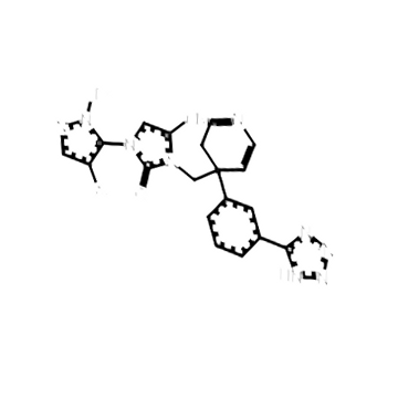 CCCCc1cn(-c2c(C(C)=O)cnn2C(C)C)c(=O)n1CC1(c2cccc(-c3nnn[nH]3)c2)C=CN=CC1